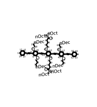 CCCCCCCCCCCCCOc1cc(C#Cc2ccccc2)c(OCCCCCCCCCCCC)cc1C#Cc1cc(OCCCCC(=O)N(CCCCCCCC)CCCCCCCC)c(C#Cc2cc(OCCCCCCCCCCCC)c(C#Cc3ccccc3)cc2OCCCCCCCCCCCC)cc1OCCCCC(=O)N(CCCCCCCC)CCCCCCCC